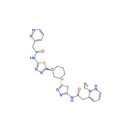 CN1NC=CC=C1CC(=O)Nc1nnc([C@H]2CCC[C@H](c3nnc(NC(=O)Cc4cccnn4)s3)C2)s1